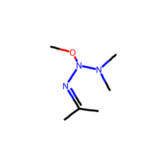 CON(N=C(C)C)N(C)C